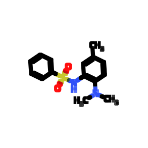 Cc1ccc(N(C)C)c(NS(=O)(=O)c2ccccc2)c1